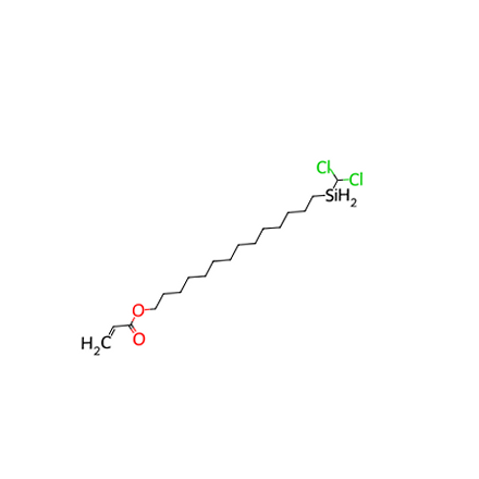 C=CC(=O)OCCCCCCCCCCCCCC[SiH2]C(Cl)Cl